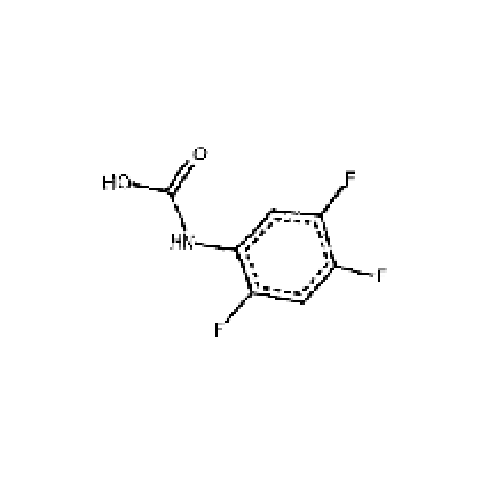 O=C(O)Nc1cc(F)c(F)cc1F